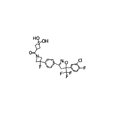 O=C(C1CS(O)(O)C1)N1CC(F)(c2ccc(C3=NOC(c4ccc(F)c(Cl)c4)(C(F)(F)F)C3)cc2)C1